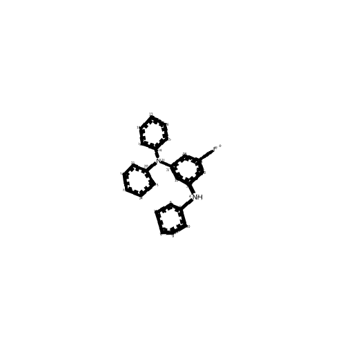 Fc1cc(Nc2ccccc2)cc(N(c2ccccc2)c2ccccc2)c1